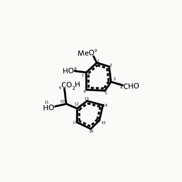 COc1cc(C=O)ccc1O.O=C(O)C(O)c1ccccc1